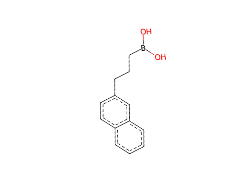 OB(O)CCCc1ccc2ccccc2c1